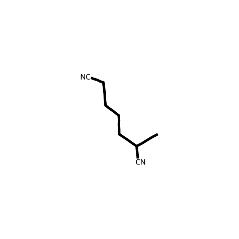 CC(C#N)CCCCC#N